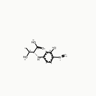 [C-]#[N+]c1ccc(N[C@@H](C(=O)O)C(C)O)cc1Cl